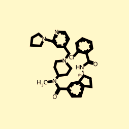 CN(C(=O)c1ccc2c(c1)[C@H](NC(=O)c1ccccc1Cl)CC2)C1CCN(Cc2ccnc(N3CCCC3)c2)CC1